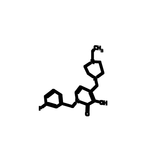 CCN1CCN(Cc2ccn(Cc3cccc(F)c3)c(=O)c2O)CC1